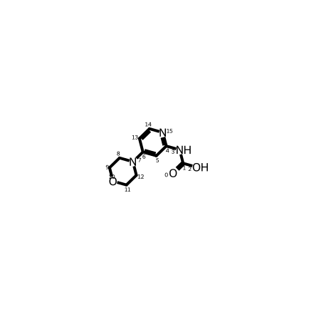 O=C(O)Nc1cc(N2CCOCC2)ccn1